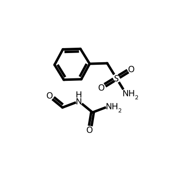 NC(=O)NC=O.NS(=O)(=O)Cc1ccccc1